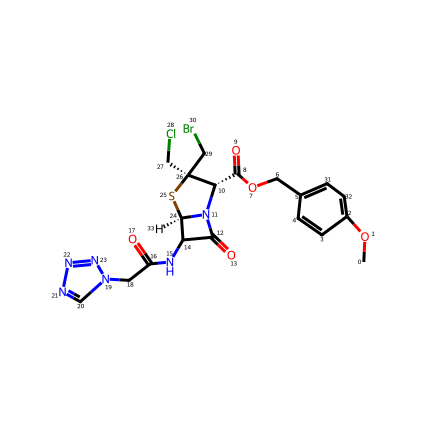 COc1ccc(COC(=O)[C@@H]2N3C(=O)C(NC(=O)Cn4cnnn4)[C@H]3S[C@@]2(CCl)CBr)cc1